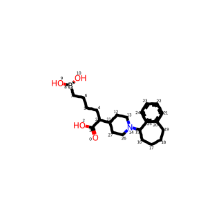 O=C(O)C(CCCCB(O)O)C1CCN(C2CCCCc3ccccc32)CC1